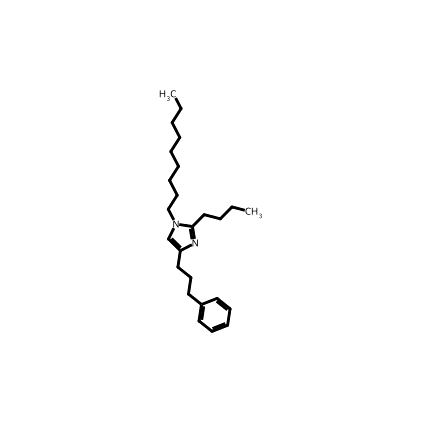 CCCCCCCCCn1cc(CCCc2ccccc2)nc1CCCC